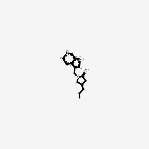 CCCC1CC(=O)N(Cc2c[nH]c3cnccc23)C1